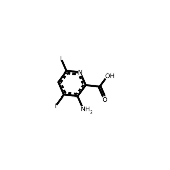 Nc1c(I)cc(I)nc1C(=O)O